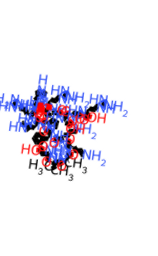 CC(C)[C@H](NC(=O)[C@@H](N)CC(=O)O)C(=O)N[C@@H](C)C(=O)N[C@@H](CCCCN)C(=O)N[C@@H](CCCCN)C(=O)N[C@@H](Cc1ccccc1)C(=O)N1CCC[C@H]1C(=O)N[C@@H](Cc1c[nH]cn1)C(=O)N[C@@H](CCCNC(=N)N)C(=O)N[C@@H](Cc1c[nH]cn1)C(=O)N[C@@H](CCCNC(=N)N)C(=O)N[C@@H](CCCCN)C(=O)N[C@@H](CC(=O)O)C(=O)NCC(=O)N[C@@H](CCCNC(=N)N)C(=O)O